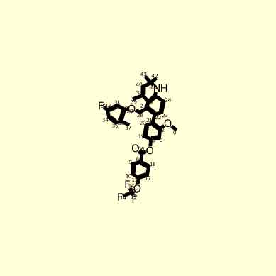 COc1cc(OC(=O)c2ccc(OC(F)(F)F)cc2)ccc1-c1ccc2c(c1COc1cc(F)ccc1C)C(C)=CC(C)(C)N2